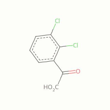 O=C(O)C(=O)c1cccc(Cl)c1Cl